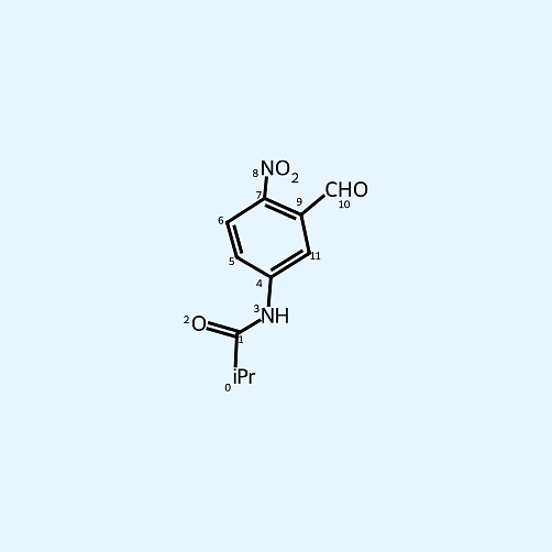 CC(C)C(=O)Nc1ccc([N+](=O)[O-])c(C=O)c1